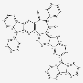 O=c1c2cc3c4ccccc4n(-c4ccccc4)c3cc2c2ccc3c4cc(-n5c6ccccc6c6ccccc65)ccc4sc3c2c(=O)n1-c1ccccc1